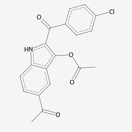 CC(=O)Oc1c(C(=O)c2ccc(Cl)cc2)[nH]c2ccc(C(C)=O)cc12